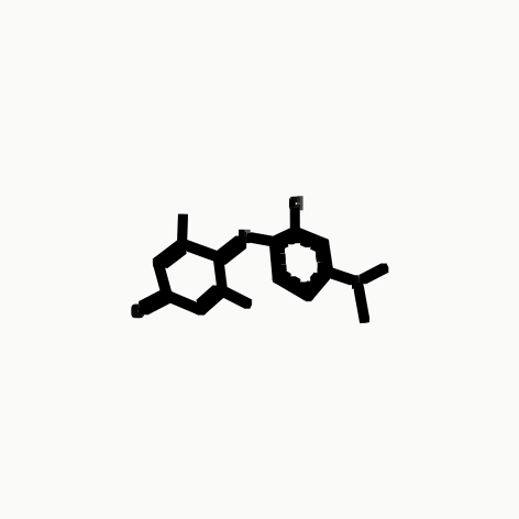 CC1=CC(=O)C=C(C)C1=Nc1ccc(N(C)C)cc1Cl